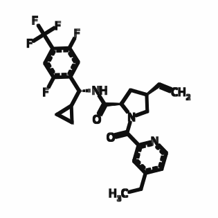 C=C[C@@H]1C[C@H](C(=O)N[C@@H](c2cc(F)c(C(F)(F)F)cc2F)C2CC2)N(C(=O)c2cc(CC)ccn2)C1